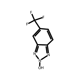 On1nc2ccc(C(F)(F)F)cc2n1